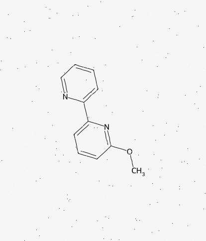 COc1cccc(-c2ccccn2)n1